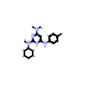 Cc1ccc(Nc2cc(N(C)C)nc(N(C)C3CCCCC3)n2)cc1